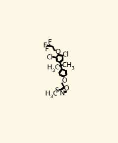 CSc1ncoc1COc1ccc(C(C)(C)c2cc(Cl)c(OCCC(F)(F)F)c(Cl)c2)cc1